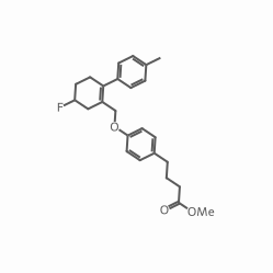 COC(=O)CCCc1ccc(OCC2=C(c3ccc(C)cc3)CCC(F)C2)cc1